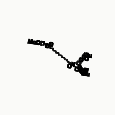 COc1ccc(COC(=O)CCCCCCCCCCCCCCC(=O)N(CCC(=O)O)Cc2cc(OCC(=O)OC(C)(C)C)cc(OCC(=O)OC(C)(C)C)c2)cc1